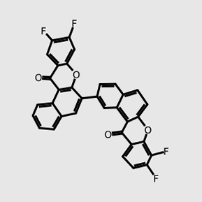 O=c1c2ccc(F)c(F)c2oc2ccc3ccc(-c4cc5ccccc5c5c(=O)c6cc(F)c(F)cc6oc45)cc3c12